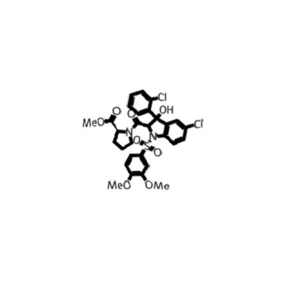 COC(=O)[C@@H]1CCCN1C(=O)C1N(S(=O)(=O)c2ccc(OC)c(OC)c2)c2ccc(Cl)cc2C1(O)c1ccccc1Cl